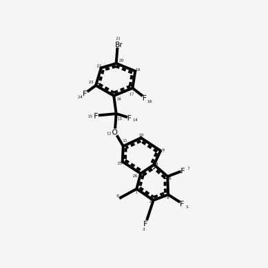 Cc1c(F)c(F)c(F)c2ccc(OC(F)(F)c3c(F)cc(Br)cc3F)cc12